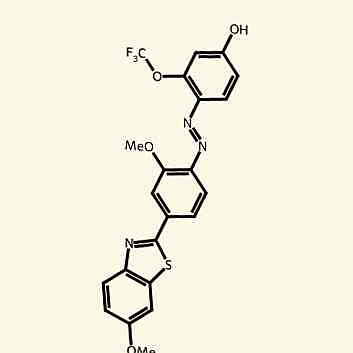 COc1ccc2nc(-c3ccc(/N=N/c4ccc(O)cc4OC(F)(F)F)c(OC)c3)sc2c1